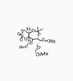 COCOC[C@@H](OCOC)[C@H]1OC(C)(C)O[C@@H]2COS(=O)(=O)O[C@H]2C1OCOC